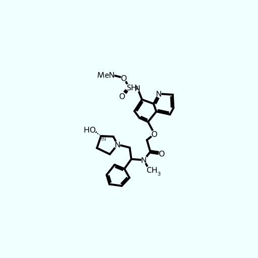 CNO[SH](=O)=Nc1ccc(OCC(=O)N(C)C(CN2CC[C@H](O)C2)c2ccccc2)c2cccnc12